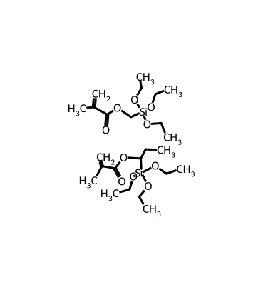 C=C(C)C(=O)OC(CC)[Si](OCC)(OCC)OCC.C=C(C)C(=O)OC[Si](OCC)(OCC)OCC